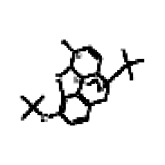 C[C@H]1C=CC2C3Cc4ccc(OC(C)(C)C)c5c4[C@@]2(CCN3C(C)(C)C)C1O5